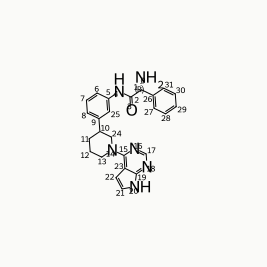 N[C@@H](C(=O)Nc1cccc(C2CCCN(c3ncnc4[nH]ccc34)C2)c1)c1ccccc1